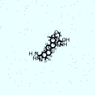 CC1(C)CC[C@]2(c3n[nH]c(O)c3N3CCOCC3)CC[C@]3(C)C(=CCC4[C@@]5(C)Cc6c(n[nH]c6N)C(C)(C)C5CC[C@]43C)C2C1